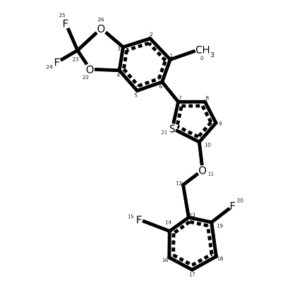 Cc1cc2c(cc1-c1ccc(OCc3c(F)cccc3F)s1)OC(F)(F)O2